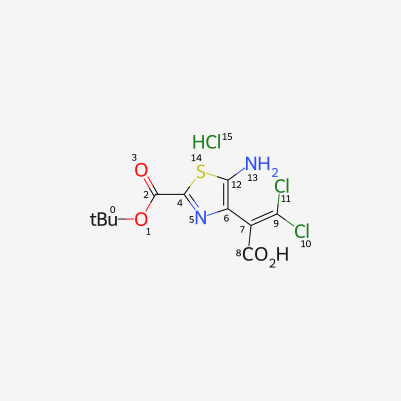 CC(C)(C)OC(=O)c1nc(C(C(=O)O)=C(Cl)Cl)c(N)s1.Cl